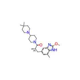 COc1nc2cc(C[C@@H](C)C(=O)N3CCC(N4CCC(C)(C)CC4)CC3)cc(C)c2[nH]1